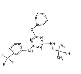 CC(C)(O)CNc1nc(Nc2cccc(C(F)(F)F)c2)nc(Oc2ccccc2)n1